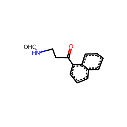 O=CNCCC(=O)c1cccc2ccccc12